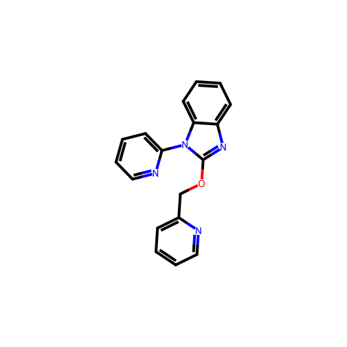 c1ccc(COc2nc3ccccc3n2-c2ccccn2)nc1